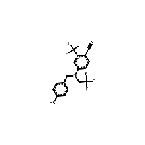 N#Cc1ccc(N(Cc2ccc(S)cc2)CC(F)(F)F)cc1C(F)(F)F